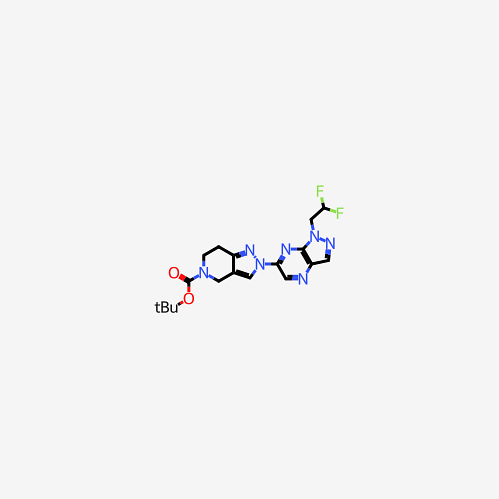 CC(C)(C)OC(=O)N1CCc2nn(-c3cnc4cnn(CC(F)F)c4n3)cc2C1